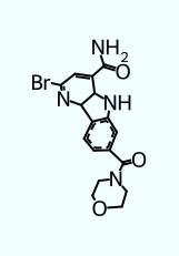 NC(=O)C1=CC(Br)=NC2c3ccc(C(=O)N4CCOCC4)cc3NC12